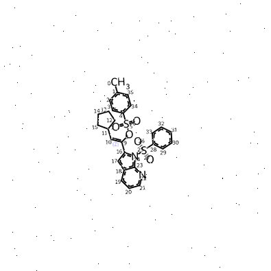 Cc1ccc(S(=O)(=O)O/C(=C\C2CCCC2)c2cc3cccnc3n2S(=O)(=O)c2ccccc2)cc1